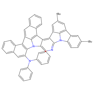 CC(C)(C)c1ccc2c(c1)c1cc(C(C)(C)C)cc3c4c5c6c7ccccc7cc7c8c9ccccc9cc(N(c9ccccc9)c9ccccc9)c8n(c5cnc4n2c13)c76